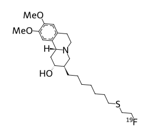 COc1cc2c(cc1OC)[C@H]1C[C@@H](O)[C@H](CCCCCCCSCC[19F])CN1CC2